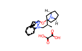 C#CCO[C@H]1C[C@H]2CC[C@@H](C1)N2C[C@@H](C)Cn1ncc2ccccc21.O=C(O)C(=O)O